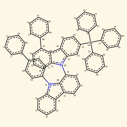 c1ccc(-c2ccc(-n3c4ccccc4c4cccc(-n5c6cc([Si](c7ccccc7)(c7ccccc7)c7ccccc7)ccc6c6c(-c7ccccc7)cccc65)c43)cc2)cc1